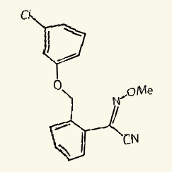 CON=C(C#N)c1ccccc1COc1cccc(Cl)c1